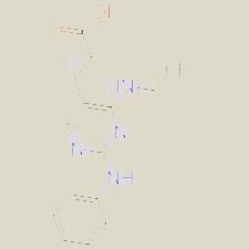 CCNc1nc(Nc2ccccc2)ncc1/C=C/C(=O)O